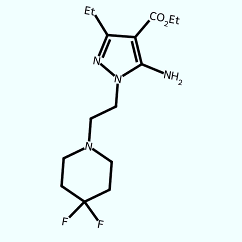 CCOC(=O)c1c(CC)nn(CCN2CCC(F)(F)CC2)c1N